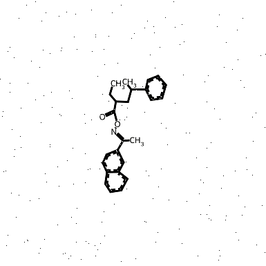 CCC(CC(C)c1ccccc1)C(=O)ON=C(C)c1ccc2ccccc2c1